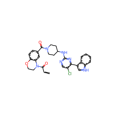 C=CC(=O)N1CCOc2ccc(C(=O)N3CCC(Nc4ncc(Cl)c(-c5c[nH]c6ccccc56)n4)CC3)cc21